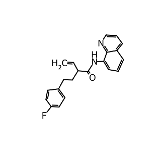 C=CC(CCc1ccc(F)cc1)C(=O)Nc1cccc2cccnc12